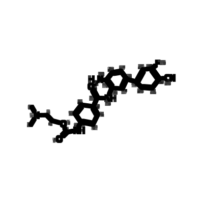 CN(C)CCOC(=O)Nc1ccc(C(=O)Nc2cc(-c3ccc(C#N)c(F)c3)ccc2N)cc1